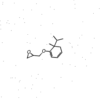 CC(C)C1(C)CC=CC=C1OCC1CO1